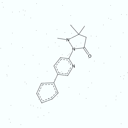 CN1N(c2ccc(-c3ccccc3)cn2)C(=O)CC1(C)C